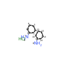 Cl.Nc1ccccc1.Nc1ccccc1